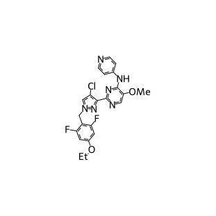 CCOc1cc(F)c(Cn2cc(Cl)c(-c3ncc(OC)c(Nc4ccncc4)n3)n2)c(F)c1